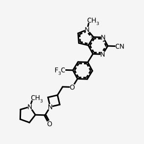 CN1CCCC1C(=O)N1CC(COc2ccc(-c3nc(C#N)nc4c3ccn4C)cc2C(F)(F)F)C1